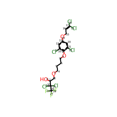 OC(COCCCCOc1c(Cl)cc(OCC=C(Cl)Cl)cc1Cl)C(Cl)(Cl)C(F)(F)F